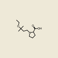 CCOC(C)(C)CCN1CCCC1C(=O)O